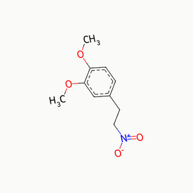 COc1ccc(CC[N+](=O)[O-])cc1OC